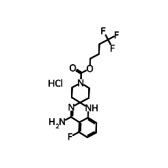 Cl.NC1=NC2(CCN(C(=O)OCCCC(F)(F)F)CC2)Nc2cccc(F)c21